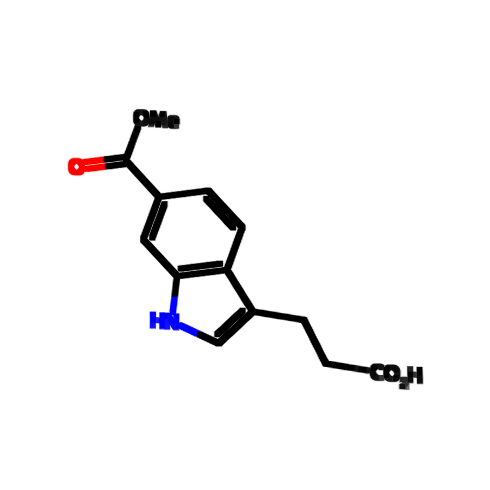 COC(=O)c1ccc2c(CCC(=O)O)c[nH]c2c1